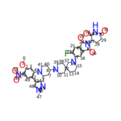 COc1cc(N2CCC(N3CCC4(CCCN(c5cc6c(cc5F)C(=O)N(C5CCC(=O)NC5=O)C6=O)C4)CC3)CC2)c(-c2cnn(C)c2)cc1[N+](=O)[O-]